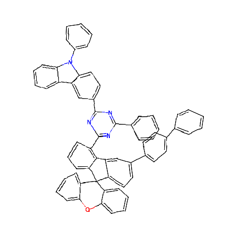 c1ccc(-c2ccc(-c3ccc4c(c3)-c3c(-c5nc(-c6ccccc6)nc(-c6ccc7c(c6)c6ccccc6n7-c6ccccc6)n5)cccc3C43c4ccccc4Oc4ccccc43)cc2)cc1